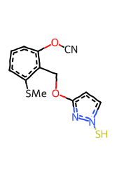 CSc1cccc(OC#N)c1COc1ccn(S)n1